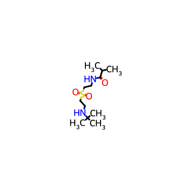 CC(C)C(=O)NCCS(=O)(=O)CCNC(C)(C)C